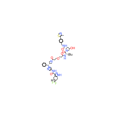 Cc1ncsc1-c1ccc(CNC(=O)[C@@H]2C[C@@H](O)CN2C(=O)[C@@H](NC(=O)CCOCCC(=O)N2CC([C@@H](c3ccccc3)n3cc(NC(=O)c4n[nH]c5c4C[C@@H]4C(F)(F)[C@]4(C)C5)cn3)C2)C(C)(C)C)cc1